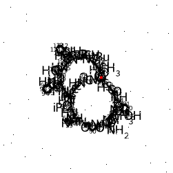 CCCC[C@H]1C(=O)N(C)[C@@H](CCCC)C(=O)N[C@@H](C)C(=O)N[C@H]2CSCC(=O)N[C@@H](Cc3ccc(O)cc3)C(=O)N(C)[C@@H](C)C(=O)N[C@@H](CC(N)=O)C(=O)N3CCCC3C(=O)N[C@@H](Cc3cnc[nH]3)C(=O)N[C@@H](CC(C)C)C(=O)N[C@@H](CCCNC(=O)CNC2=O)C(=O)N[C@@H](Cc2c[nH]c3ccccc23)C(=O)N[C@@H](CO)C(=O)N[C@@H](Cc2c[nH]c3ccccc23)C(=O)N1C